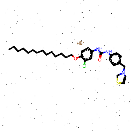 Br.CCCCCCCCCCCCCCOc1ccc(NC(=O)Nc2ccc(CN3C=CSC3)cc2)cc1Cl